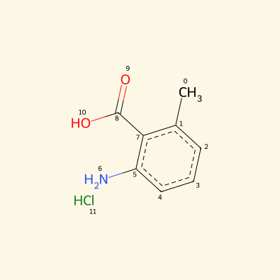 Cc1cccc(N)c1C(=O)O.Cl